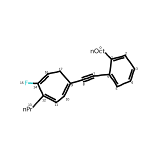 CCCCCCCCc1ccccc1C#CC1=CC=C(CCC)C(F)=CC1